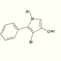 CC(=O)Oc1cn(C(C)=O)c(-c2ccccc2)c1Br